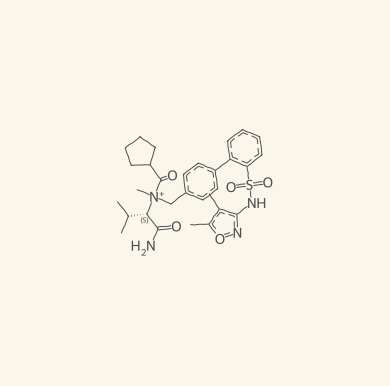 Cc1onc(NS(=O)(=O)c2ccccc2-c2ccc(C[N+](C)(C(=O)C3CCCC3)[C@H](C(N)=O)C(C)C)cc2)c1C